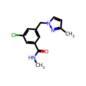 CNC(=O)c1cc(Cl)cc(Cn2ccc(C)n2)c1